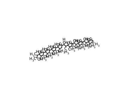 CCC(C)C(C)C(C)C(C)C(C)C(C)C(C)C(C)C(C)C(C)C(C)C(C)C(C)C(C)C(C)C(C)C(O)C(C)CC(C)C(O)C(C)C(O)C(C)C(O)C(C)C(O)C(C)C(O)C(C)C(O)C(C)C(O)C(C)C(C)O